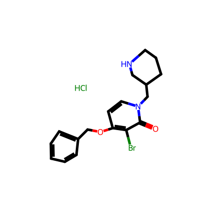 Cl.O=c1c(Br)c(OCc2ccccc2)ccn1CC1CCCNC1